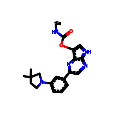 CC1(C)CCN(c2cccc(-c3cnc4[nH]cc(OC(=O)NC(C)(C)C)c4n3)c2)C1